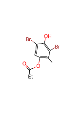 CCC(=O)Oc1cc(Br)c(O)c(Br)c1C